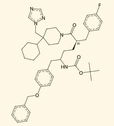 CC(C)(C)OC(=O)NC(CC[C@H](Cc1ccc(F)cc1)C(=O)N1CCC(Cn2cncn2)(C2CCCCC2)CC1)Cc1ccc(OCc2ccccc2)cc1